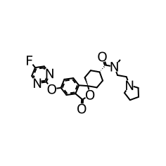 CN(CCN1CCCC1)C(=O)[C@H]1CC[C@@]2(CC1)OC(=O)c1cc(Oc3ncc(F)cn3)ccc12